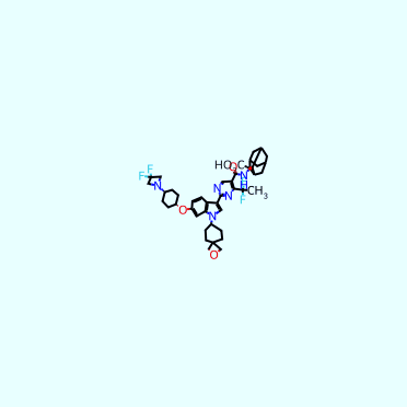 CC(F)(F)c1nc(-c2cn(C3CCC4(CC3)COC4)c3cc(O[C@H]4CC[C@H](N5CC(F)(F)C5)CC4)ccc23)ncc1C(=O)NC1(C(=O)O)C2CC3CC(C2)CC1C3